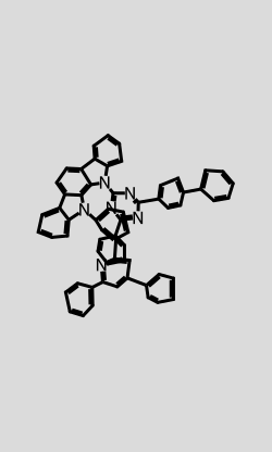 c1ccc(-c2ccc(-c3nc(-c4ccccc4)nc(-n4c5ccccc5c5ccc6c7ccccc7n(-c7cccc(-c8cc(-c9ccccc9)cc(-c9ccccc9)n8)c7)c6c54)n3)cc2)cc1